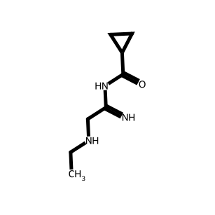 CCNCC(=N)NC(=O)C1CC1